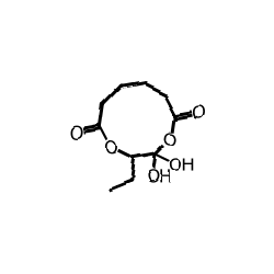 CCC1OC(=O)CCCCC(=O)OC1(O)O